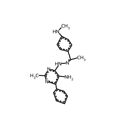 CNc1ccc(/C(C)=N\Nc2nc(C)nc(-c3ccccc3)c2N)cc1